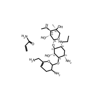 C=CC(N)=O.CCN[C@@H]1C[C@H](N)[C@@H](OC2OC(CN)=CCC2N)[C@H](O)[C@H]1O[C@H]1OC[C@](C)(O)[C@H](NC)[C@H]1O